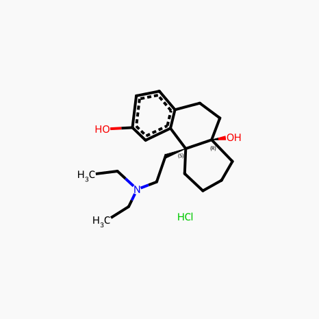 CCN(CC)CC[C@]12CCCC[C@@]1(O)CCc1ccc(O)cc12.Cl